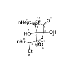 CCCCCCCC(=O)C(O)(CO)C(O)(C(=O)CCCCCCC)C(=O)C(CC)CCCC